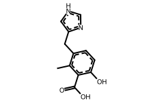 Cc1c(Cc2c[nH]cn2)ccc(O)c1C(=O)O